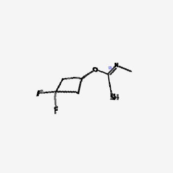 C/N=C(\S)OC1CC(F)(F)C1